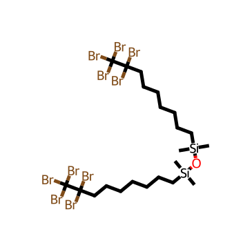 C[Si](C)(CCCCCCCC(Br)(Br)C(Br)(Br)Br)O[Si](C)(C)CCCCCCCC(Br)(Br)C(Br)(Br)Br